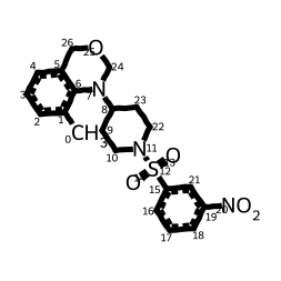 Cc1cccc2c1N(C1CCN(S(=O)(=O)c3cccc([N+](=O)[O-])c3)CC1)COC2